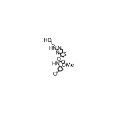 COc1ccc(Cl)cc1NC(=O)Oc1csc2cnc(NCCCO)nc12